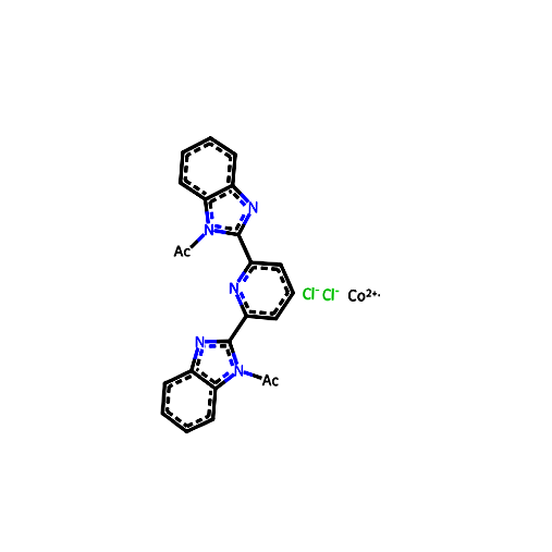 CC(=O)n1c(-c2cccc(-c3nc4ccccc4n3C(C)=O)n2)nc2ccccc21.[Cl-].[Cl-].[Co+2]